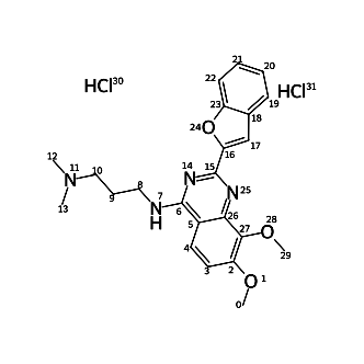 COc1ccc2c(NCCCN(C)C)nc(-c3cc4ccccc4o3)nc2c1OC.Cl.Cl